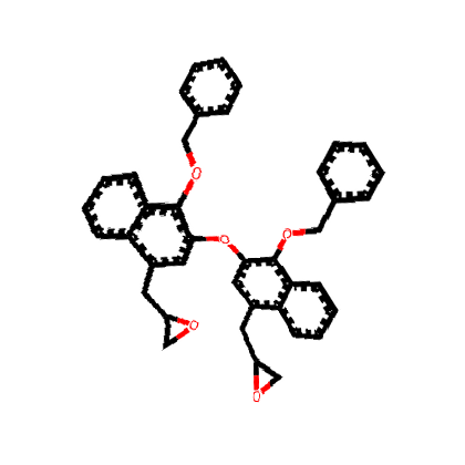 c1ccc(COc2c(Oc3cc(CC4CO4)c4ccccc4c3OCc3ccccc3)cc(CC3CO3)c3ccccc23)cc1